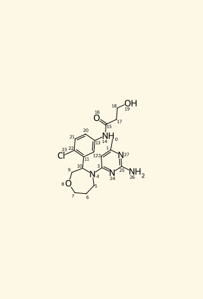 Cc1cc(N2CCCOCC2c2cc(NC(=O)CCO)ccc2Cl)nc(N)n1